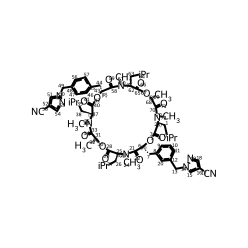 CC(C)C[C@H]1C(=O)O[C@H](Cc2cccc(Cn3cc(C#N)cn3)c2)C(=O)N(C)[C@@H](CC(C)C)C(=O)O[C@H](C)C(=O)N(C)[C@@H](CC(C)C)C(=O)O[C@H](Cc2ccc(Cn3cc(C#N)cn3)cc2)C(=O)N(C)[C@@H](CC(C)C)C(=O)O[C@H](C)C(=O)N1C